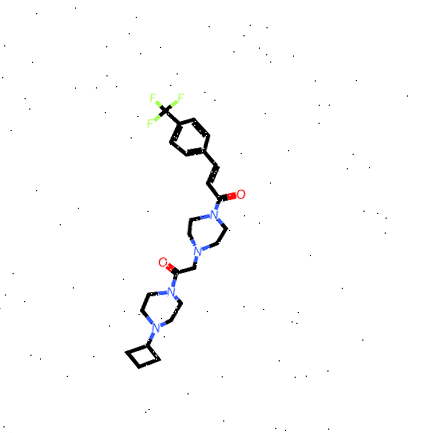 O=C(C=Cc1ccc(C(F)(F)F)cc1)N1CCN(CC(=O)N2CCN(C3CCC3)CC2)CC1